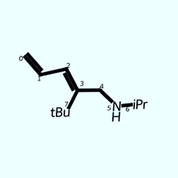 C=C/C=C(/CNC(C)C)C(C)(C)C